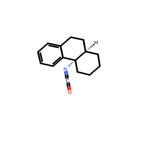 O=C=N[C@@]12CCCC[C@@H]1CCc1ccccc12